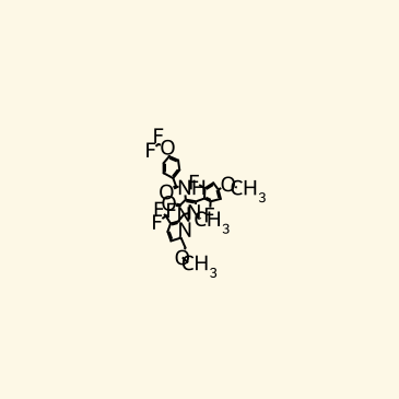 COCc1ccc(C(F)(F)F)c(-n2c(=O)c(NC(=O)c3ccc(OC(F)F)cc3)c(-c3c(F)cc(OC)cc3F)n2C)n1